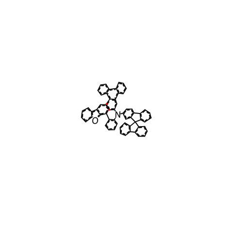 c1ccc(N(c2ccc3c(c2)C2(c4ccccc4-c4ccccc42)c2ccccc2-3)c2ccc3c4ccccc4c4ccccc4c3c2)c(-c2cccc3c2oc2ccccc23)c1